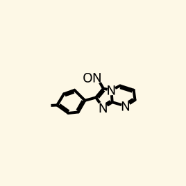 Cc1ccc(-c2nc3ncccn3c2N=O)cc1